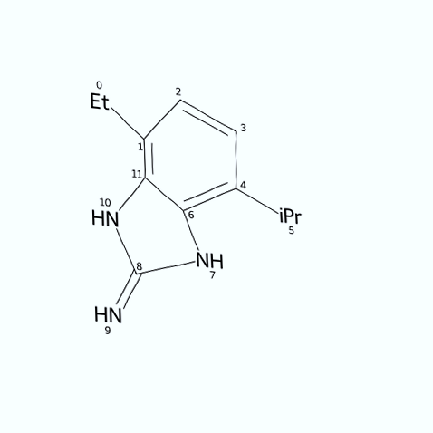 CCc1ccc(C(C)C)c2[nH]c(=N)[nH]c12